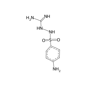 N=C(N)NNS(=O)(=O)c1ccc(N)cc1